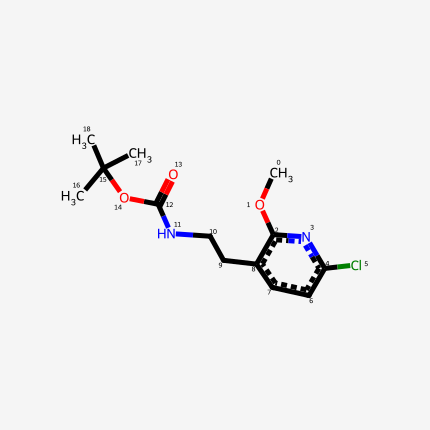 COc1nc(Cl)ccc1CCNC(=O)OC(C)(C)C